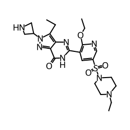 CCOc1ncc(S(=O)(=O)N2CCN(CC)CC2)cc1-c1nc2c(CC)n(C3CNC3)nc2c(=O)[nH]1